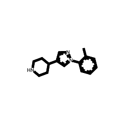 Cc1ccccc1-n1cc(C2CCNCC2)cn1